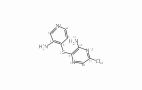 Nc1cnccc1Sc1ncc(Cl)nc1N